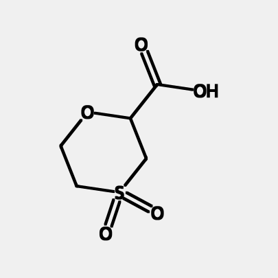 O=C(O)C1CS(=O)(=O)CCO1